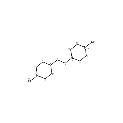 CCN1CCC(CCN2CCN(C(C)=O)CC2)CC1